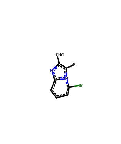 CCc1c(C=O)nc2cccc(Br)n12